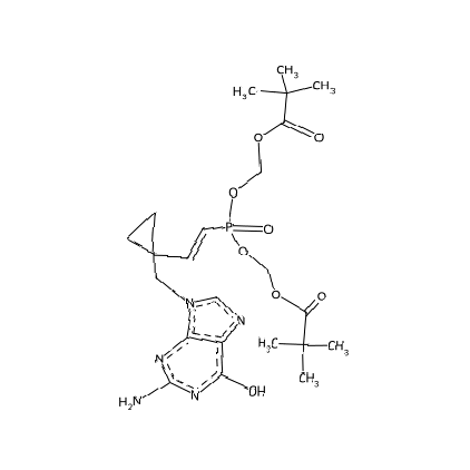 CC(C)(C)C(=O)OCOP(=O)(/C=C/C1(Cn2cnc3c(O)nc(N)nc32)CC1)OCOC(=O)C(C)(C)C